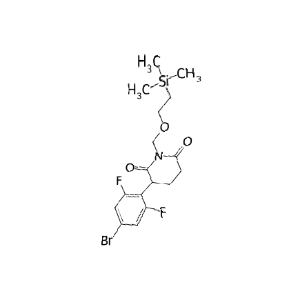 C[Si](C)(C)CCOCN1C(=O)CCC(c2c(F)cc(Br)cc2F)C1=O